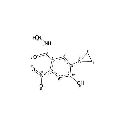 NNC(=O)c1cc(N2CC2)c(O)cc1[N+](=O)[O-]